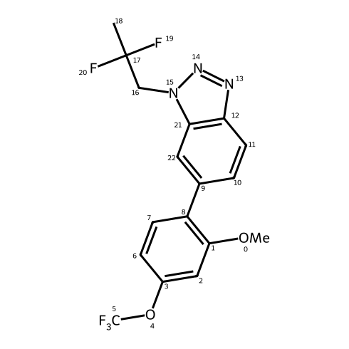 COc1cc(OC(F)(F)F)ccc1-c1ccc2nnn(CC(C)(F)F)c2c1